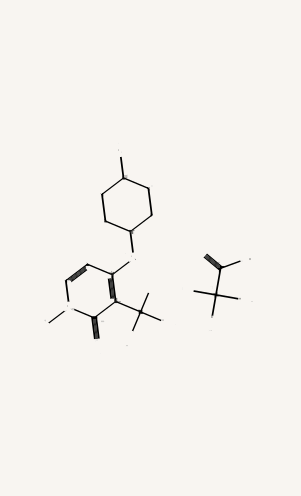 Cn1ccc(NC2CCC(N)CC2)c(C(F)(F)F)c1=O.O=C(O)C(F)(F)F